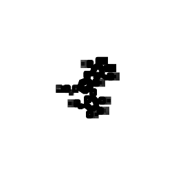 CCOC(=O)c1cc(OC2O[C@H](CO)[C@@H](O)[C@H](O)[C@H]2O)c(O)c(OC2O[C@H](CO)[C@@H](O)[C@H](O)[C@H]2O)c1